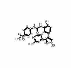 CCn1cc(-c2ccc(F)c(NC(=O)Nc3ccc(S(=O)(=O)CC)cc3)c2)c(-c2ccnc(N)n2)n1